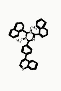 CN1C(C2=CCCc3ccccc32)=NC(c2ccc(-c3ccnc4ccccc34)cc2)N(C)C1C1=c2ccccc2=CCC1